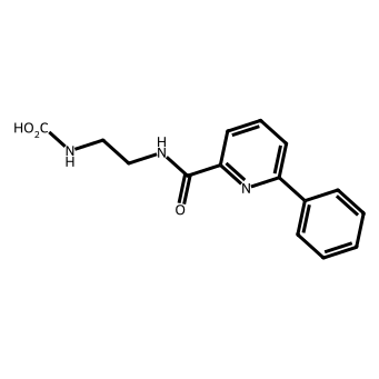 O=C(O)NCCNC(=O)c1cccc(-c2ccccc2)n1